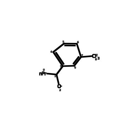 CCCC([O])c1cccc(C(F)(F)F)c1